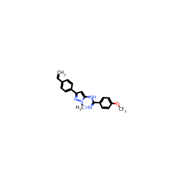 C=Cc1ccc(-c2cc(NC(=N)c3ccc(OC(F)(F)F)cc3)n(C)n2)cc1